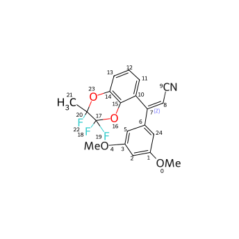 COc1cc(OC)cc(/C(=C/C#N)c2cccc3c2OC(F)(F)C(C)(F)O3)c1